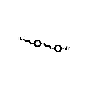 C=CCC[C@H]1CC[C@H](/C=C/CC[C@H]2CC[C@H](CCC)CC2)CC1